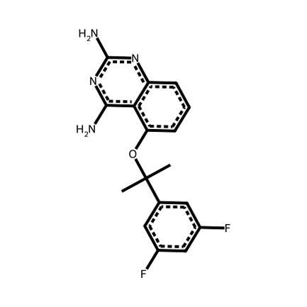 CC(C)(Oc1cccc2nc(N)nc(N)c12)c1cc(F)cc(F)c1